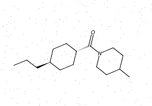 CCC[C@H]1CC[C@H](C(=O)N2CCC(C)CC2)CC1